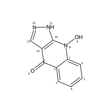 O=c1c2ccccc2n(O)c2[nH]ncc12